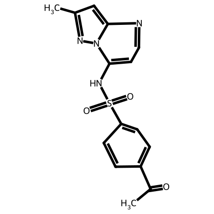 CC(=O)c1ccc(S(=O)(=O)Nc2ccnc3cc(C)nn23)cc1